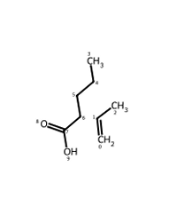 C=CC.CCCCC(=O)O